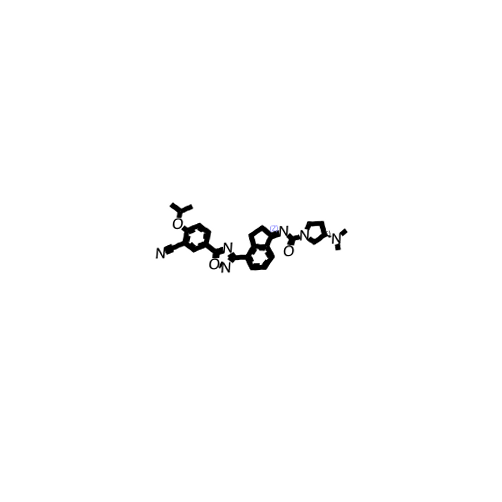 CC(C)Oc1ccc(-c2nc(-c3cccc4c3CC/C4=N/C(=O)N3CC[C@H](N(C)C)C3)no2)cc1C#N